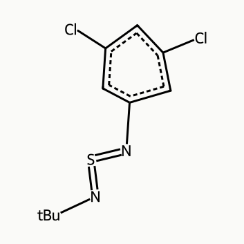 CC(C)(C)N=S=Nc1cc(Cl)cc(Cl)c1